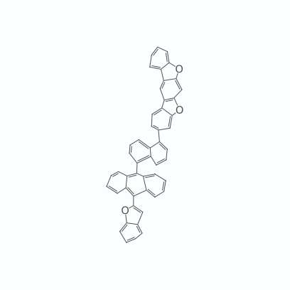 c1ccc2oc(-c3c4ccccc4c(-c4cccc5c(-c6ccc7c(c6)oc6cc8oc9ccccc9c8cc67)cccc45)c4ccccc34)cc2c1